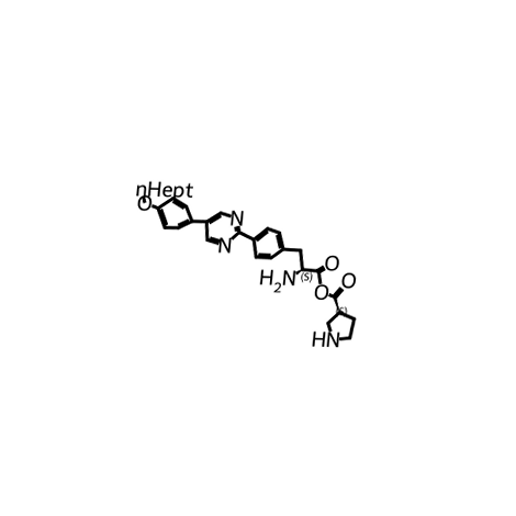 CCCCCCCOc1ccc(-c2cnc(-c3ccc(C[C@H](N)C(=O)OC(=O)[C@H]4CCNC4)cc3)nc2)cc1